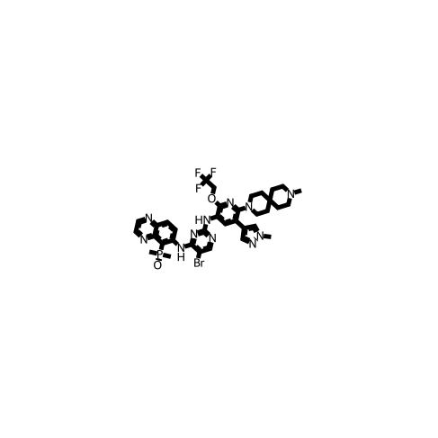 CN1CCC2(CC1)CCN(c1nc(OCC(F)(F)F)c(Nc3ncc(Br)c(Nc4ccc5nccnc5c4P(C)(C)=O)n3)cc1-c1cnn(C)c1)CC2